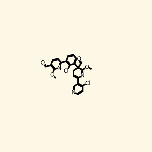 COC1=NC(c2cnccc2Cl)=CCC1(C=O)c1cccc(-c2ccc(C=O)c(OC)n2)c1Cl